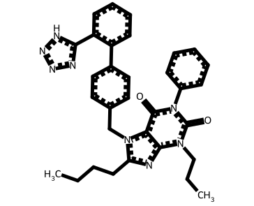 CCCCc1nc2c(c(=O)n(-c3ccccc3)c(=O)n2CCC)n1Cc1ccc(-c2ccccc2-c2nnn[nH]2)cc1